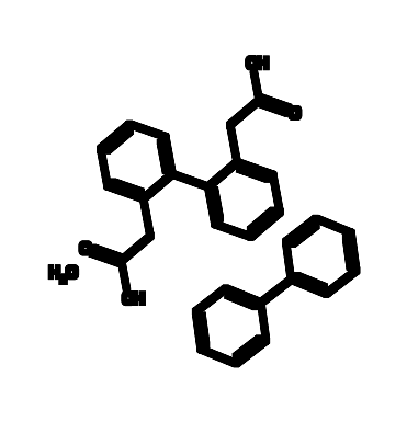 O.O=C(O)Cc1ccccc1-c1ccccc1CC(=O)O.c1ccc(-c2ccccc2)cc1